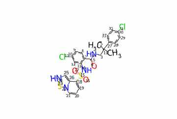 CC(C)(CNC(=O)c1ccc(Cl)cc1NS(=O)(=O)C1=CC=CN2SNC=C12)c1ccc(Cl)cc1